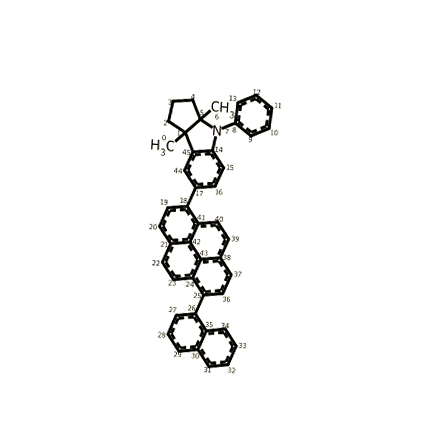 CC12CCCC1(C)N(c1ccccc1)c1ccc(-c3ccc4ccc5c(-c6cccc7ccccc67)ccc6ccc3c4c65)cc12